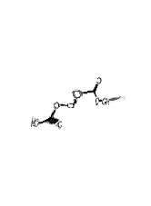 O=C(O)OOOC(=O)OO